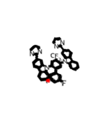 Fc1cc(F)cc(-c2cc(-n3c4ccccc4c4ccc(-c5ncccn5)cc43)c(C(F)(F)F)cc2-n2c3ccccc3c3ccc(-c4ncccn4)cc32)c1